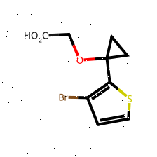 O=C(O)COC1(c2sccc2Br)CC1